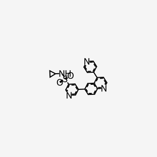 O=S(=O)(NC1CC1)c1cncc(-c2ccc3nccc(-c4ccncc4)c3c2)c1